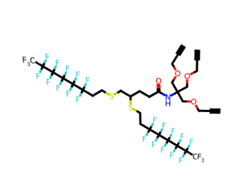 C#CCOCC(COCC#C)(COCC#C)NC(=O)CCC(CSCCC(F)(F)C(F)(F)C(F)(F)C(F)(F)C(F)(F)C(F)(F)F)SCCC(F)(F)C(F)(F)C(F)(F)C(F)(F)C(F)(F)C(F)(F)F